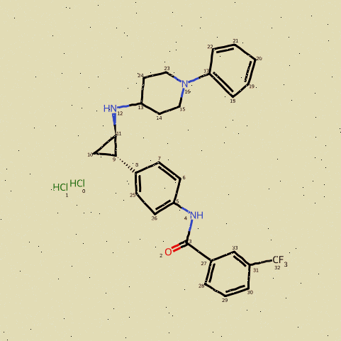 Cl.Cl.O=C(Nc1ccc([C@@H]2C[C@H]2NC2CCN(c3ccccc3)CC2)cc1)c1cccc(C(F)(F)F)c1